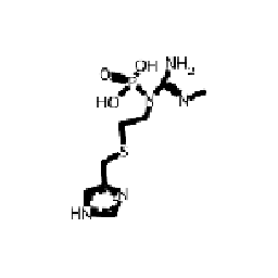 CN=C(N)N(CCSCc1c[nH]cn1)P(=O)(O)O